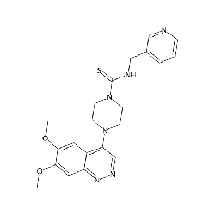 COc1cc2nncc(N3CCN(C(=S)NCc4cccnc4)CC3)c2cc1OC